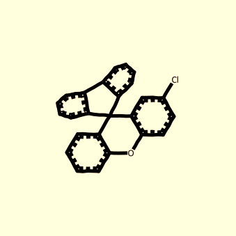 Clc1ccc2c(c1)C1(c3ccccc3O2)c2ccccc2-c2ccccc21